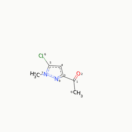 CC(=O)c1cc(Cl)n(C)n1